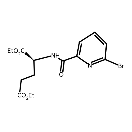 CCOC(=O)CC[C@H](NC(=O)c1cccc(Br)n1)C(=O)OCC